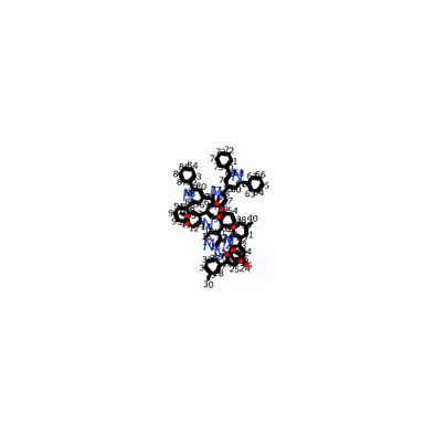 Cc1ccc2c(c1)c1cc(C)ccc1n2-c1cnc(-n2c3ccc(C)cc3c3cc(C)ccc32)c(-n2c3ccc(C)cc3c3cc(C)ccc32)c1-c1cccc(-c2cc(-c3cc(-c4ccccc4)nc(-c4ccccc4)c3)nc(-c3cc(-c4ccccc4)nc(-c4ccccc4)c3)c2)c1